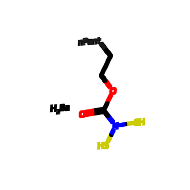 CCCCCCCOC(=O)N(S)S.[BaH2]